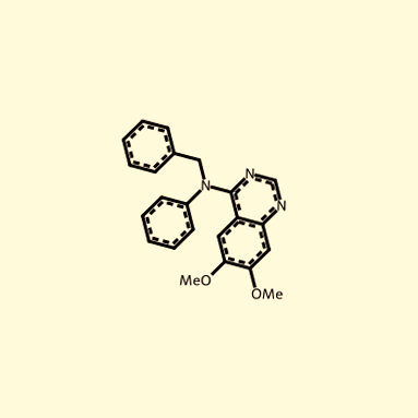 COc1cc2ncnc(N(Cc3ccccc3)c3ccccc3)c2cc1OC